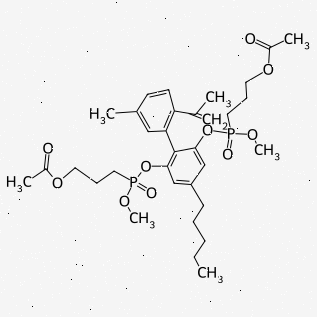 C=C(C)c1ccc(C)cc1-c1c(OP(=O)(CCCOC(C)=O)OC)cc(CCCCC)cc1OP(=O)(CCCOC(C)=O)OC